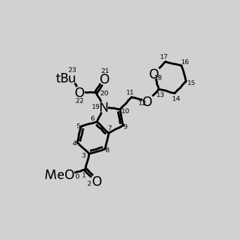 COC(=O)c1ccc2c(c1)cc(COC1CCCCO1)n2C(=O)OC(C)(C)C